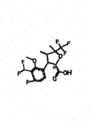 COc1c(C2C(C)C(C)(C(F)(F)F)O[C@H]2C(=O)O)ccc(F)c1C(F)F